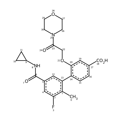 Cc1c(F)cc(C(=O)NC2CC2)cc1-c1ccc(C(=O)O)cc1OCC(=O)N1CCOCC1